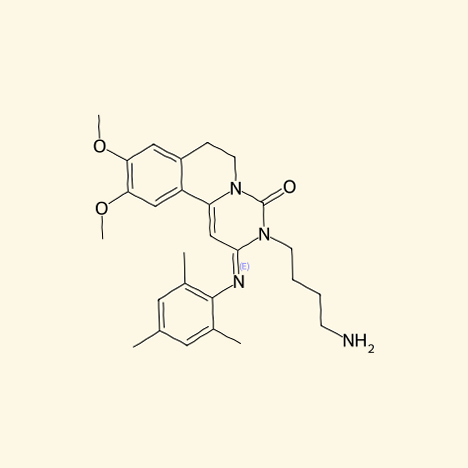 COc1cc2c(cc1OC)-c1c/c(=N\c3c(C)cc(C)cc3C)n(CCCCN)c(=O)n1CC2